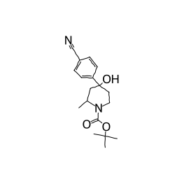 CC1CC(O)(c2ccc(C#N)cc2)CCN1C(=O)OC(C)(C)C